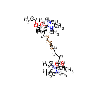 CCO[SiH](CCCSSSSCCC[SiH](OCC)OC(C)(N(C)C)N(C)C)OC(C)(N(C)C)N(C)C